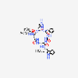 CCCC[C@H](NC(C)=O)C(=O)NC1CCC(=O)NCCC(C(=O)N[C@@H](Cc2c[nH]c3ccccc23)C(=O)O)NC(=O)CNC(=O)C(Cc2ccccc2)NC(=O)[C@H](Cc2c[nH]cn2)NC1=O